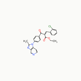 CCOC(=O)C(=Cc1ccccc1Cl)C(=O)c1ccc(-n2c(C)nc3cnccc32)cc1